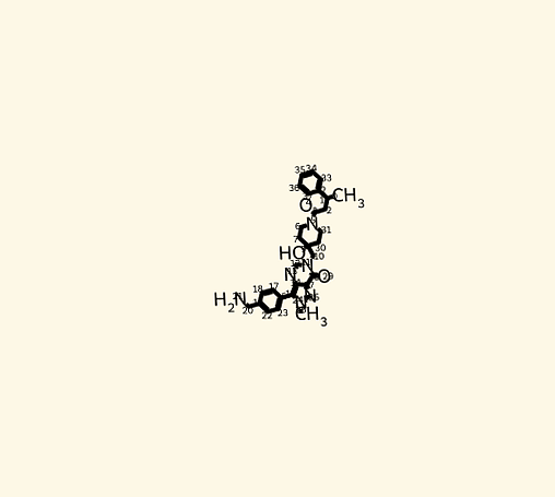 CC(CC(=O)N1CCC(O)(Cn2cnc3c(-c4ccc(CN)cc4)n(C)nc3c2=O)CC1)c1ccccc1